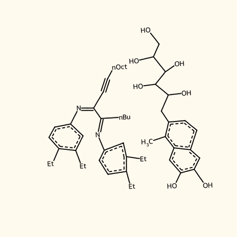 CCCCCCCCC#CC(=Nc1ccc(CC)c(CC)c1)C(CCCC)=Nc1ccc(CC)c(CC)c1.Cc1c(CC(O)C(O)C(O)C(O)CO)ccc2cc(O)c(O)cc12